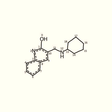 Oc1nc2ccccc2cc1CNC1CCCCC1